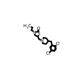 CCCN1CC(CN2CCC(Cc3cc(Cl)ccc3Cl)CC2)SC1=O